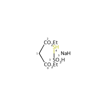 CCOC(=O)CC(=O)OCC.O=S(=O)(O)S.[NaH]